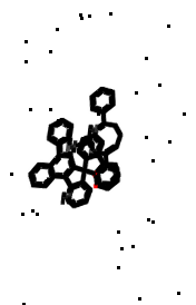 C1=C(c2ccccc2)/N=C(n2c3ccccc3c3c4ccccc4c4c(c32)C2(c3ccccc3-c3ccccc32)c2cccnc2-4)\N=C(\c2ccccc2)CC\1